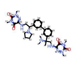 CN(C)C(C)(CNc1nn(C)c(=O)n(C)c1=O)c1cccc(-c2cccc(C(CNc3nn(C)c(=O)n(C)c3=O)N3CCCC3)c2)c1